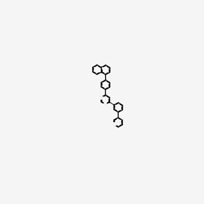 c1cncc(-c2cccc(-c3cc(-c4ccc(-c5cccc6ccccc56)cc4)ncn3)c2)c1